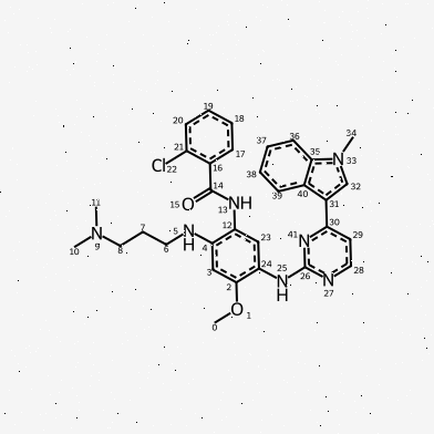 COc1cc(NCCCN(C)C)c(NC(=O)c2ccccc2Cl)cc1Nc1nccc(-c2cn(C)c3ccccc23)n1